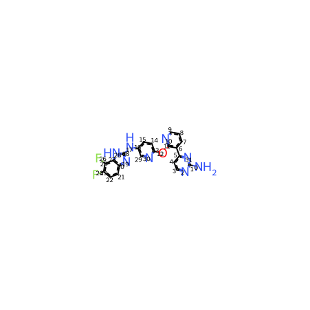 Nc1nccc(-c2cccnc2Oc2ccc(Nc3nc4ccc(F)c(F)c4[nH]3)cn2)n1